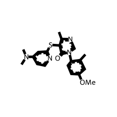 COc1ccc(-n2cnc(C)c(Sc3cc(N(C)C)ccn3)c2=O)c(C)c1